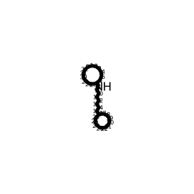 C1CCCCCCC(NCCCCCCCC2CCCCCCCCCC2)CCCCCC1